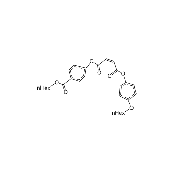 CCCCCCOC(=O)c1ccc(OC(=O)/C=C\C(=O)Oc2ccc(OCCCCCC)cc2)cc1